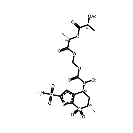 CCN(C(=O)OCOC(=O)[C@H](C)OC(=O)[C@H](C)OC(C)=O)[C@H]1C[C@H](C)S(=O)(=O)c2sc(S(N)(=O)=O)cc21